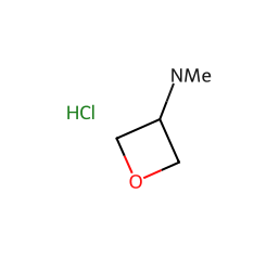 CNC1COC1.Cl